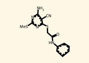 CSc1nc(N)c(C#N)c(SCC(=O)Nc2ccccc2)n1